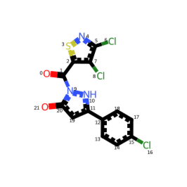 O=C(c1snc(Cl)c1Cl)n1[nH]c(-c2ccc(Cl)cc2)cc1=O